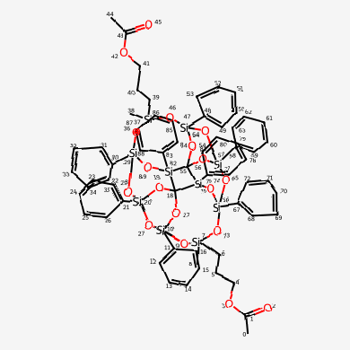 CC(=O)OCCC[Si]1(C)O[Si]2(c3ccccc3)OC34O[Si](c5ccccc5)(O2)O[Si]2(c5ccccc5)O[Si](C)(CCCOC(C)=O)O[Si]5(c6ccccc6)OC6(O[Si](c7ccccc7)(O5)O[Si](c5ccccc5)(O1)O[Si]63c1ccccc1)[Si]4(c1ccccc1)O2